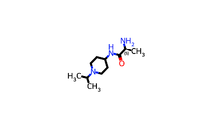 CC(C)N1CCC(NC(=O)[C@H](C)N)CC1